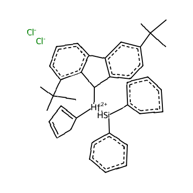 CC(C)(C)c1ccc2c(c1)-c1cccc(C(C)(C)C)c1[CH]2[Hf+2]([C]1=CC=CC1)[SiH](c1ccccc1)c1ccccc1.[Cl-].[Cl-]